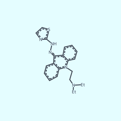 CCN(CC)CCn1c2ccccc2c(=NNc2nccs2)c2ccccc21